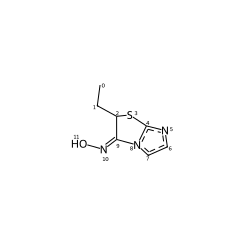 CCC1Sc2nccn2C1=NO